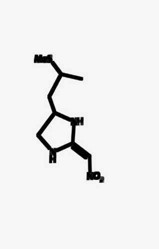 CSC(C)CC1CNC(=C[N+](=O)[O-])N1